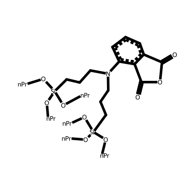 CCCO[Si](CCCN(CCC[Si](OCCC)(OCCC)OCCC)c1cccc2c1C(=O)OC2=O)(OCCC)OCCC